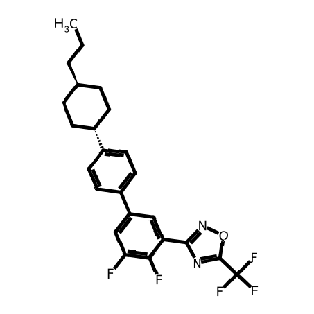 CCC[C@H]1CC[C@H](c2ccc(-c3cc(F)c(F)c(-c4noc(C(F)(F)F)n4)c3)cc2)CC1